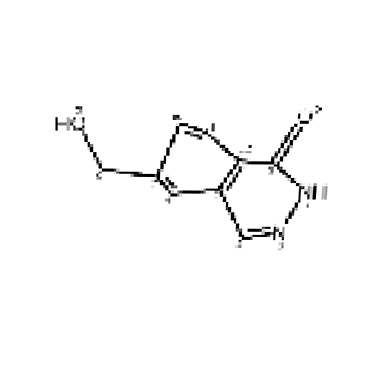 O=c1[nH]ncc2cc(CO)ccc12